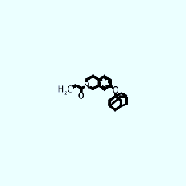 C=CC(=O)N1CCc2ccc(OC34CC5CC(CC(C5)C3)C4)cc2C1